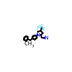 Cc1ccccc1Cc1ccc(N2CC(C(F)(F)F)CC2CC#N)cc1